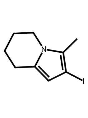 Cc1c(I)cc2n1CCCC2